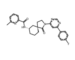 Cc1cccc(C(=O)N[C@H]2CCC[C@]3(CCN(c4cc(-c5ccc(F)cc5)ncn4)C3=O)C2)n1